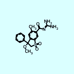 COC1(c2ccccc2)CS(=O)(=O)c2cc(C(=O)N=C(N)N)c(C)cc21